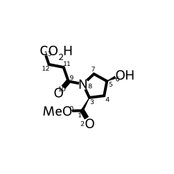 COC(=O)[C@@H]1C[C@H](O)CN1C(=O)CCC(=O)O